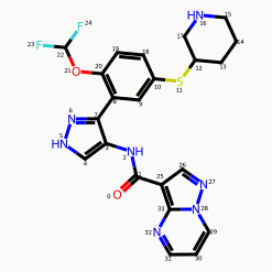 O=C(Nc1c[nH]nc1-c1cc(SC2CCCNC2)ccc1OC(F)F)c1cnn2cccnc12